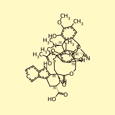 COc1c(C)cc2c(c1O)[C@H](N(C)C)C1[C@H]3SC[C@]4(N[C@H](C(=O)O)Cc5c4[nH]c4ccccc54)C(=O)OC[C@H](c4c5c(c(C)c(OC(C)=O)c43)OCO5)N1[C@@H](C#N)C2